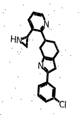 Clc1cccc(C2=NC3=C(CCC(c4ncccc4C4CN4)C3)C2)c1